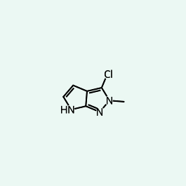 Cn1nc2[nH]ccc2c1Cl